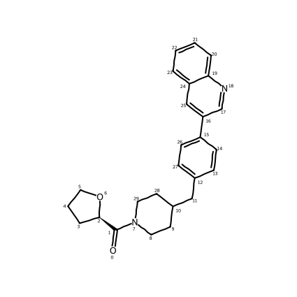 O=C([C@H]1CCCO1)N1CCC(Cc2ccc(-c3cnc4ccccc4c3)cc2)CC1